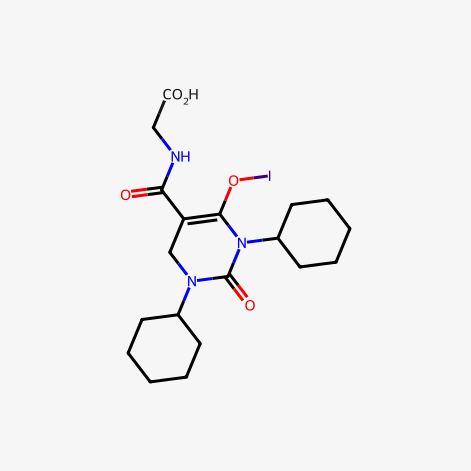 O=C(O)CNC(=O)C1=C(OI)N(C2CCCCC2)C(=O)N(C2CCCCC2)C1